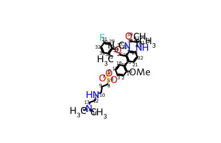 COc1cc(OS(=O)(=O)CCCNCCN(C)C)ccc1-c1ccc2c(c1COc1cc(F)ccc1C)N(C)C(=O)C(C)(C)N2